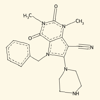 Cn1c(=O)c2c(c(C#N)c(N3CCNCC3)n2Cc2ccccc2)n(C)c1=O